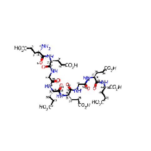 N[C@@H](CCC(=O)O)C(=O)N[C@@H](CCC(=O)O)C(=O)NCC(=O)N[C@@H](CCC(=O)O)C(=O)N[C@@H](CCC(=O)O)C(=O)NCC(=O)N[C@@H](CCC(=O)O)C(=O)N[C@@H](CCC(=O)O)C(=O)O